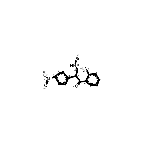 Nc1ccccc1C(=O)C(CNBr)c1ccc([N+](=O)[O-])cc1